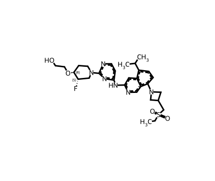 CCS(=O)(=O)CC1CN(c2ccc(C(C)C)c3cc(Nc4ccnc(N5CC[C@@H](OCCO)[C@@H](F)C5)n4)ncc23)C1